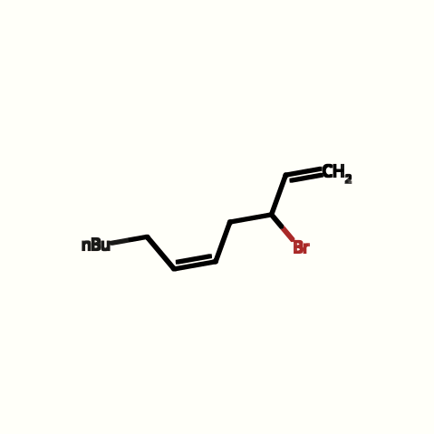 C=CC(Br)C/C=C\CCCCC